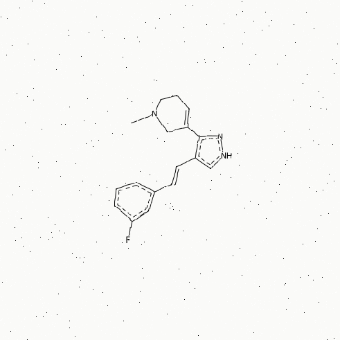 CN1CCC=C(c2n[nH]cc2/C=C/c2cccc(F)c2)C1